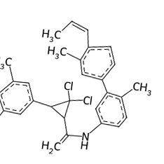 C=C(Nc1ccc(C)c(-c2ccc(/C=C\C)c(C)c2)c1)C1C(c2cc(C)cc(Cl)c2)C1(Cl)Cl